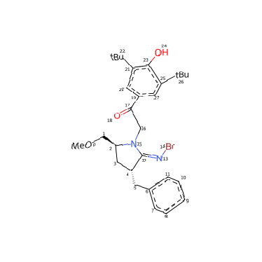 COC[C@@H]1C[C@@H](Cc2ccccc2)/C(=N/Br)N1CC(=O)c1cc(C(C)(C)C)c(O)c(C(C)(C)C)c1